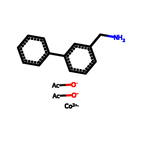 CC(=O)[O-].CC(=O)[O-].NCc1cccc(-c2ccccc2)c1.[Co+2]